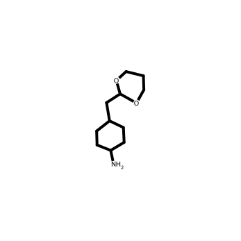 NC1CCC(CC2OCCCO2)CC1